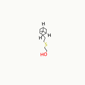 CC1(C)[C@H]2CC[C@@H](CCSCCO)[C@@H]1C2